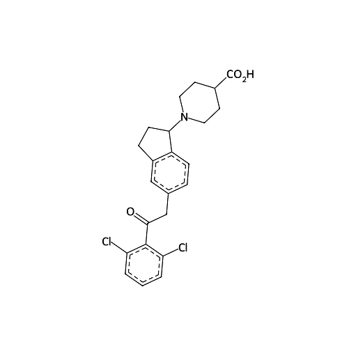 O=C(Cc1ccc2c(c1)CCC2N1CCC(C(=O)O)CC1)c1c(Cl)cccc1Cl